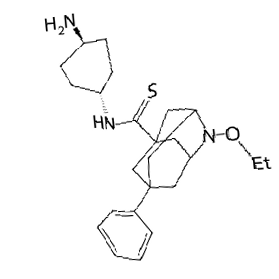 CCON1C2CC3(C(=S)N[C@H]4CC[C@H](N)CC4)CC1CC(c1ccccc1)(C2)C3